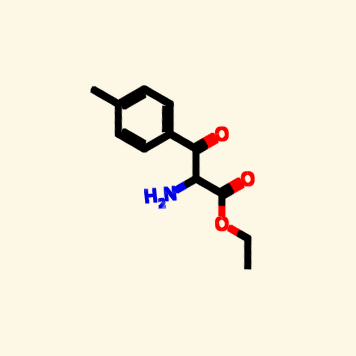 CCOC(=O)C(N)C(=O)c1ccc(C)cc1